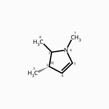 CC1[C@@H](C)C=CN1C